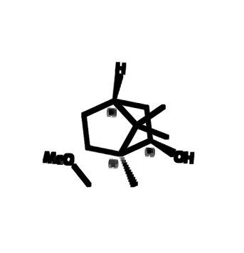 CC1(C)[C@@H]2CC[C@]1(C)[C@H](O)C2.COC